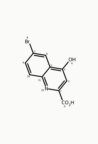 O=C(O)c1cc(O)c2cc(Br)ccc2n1